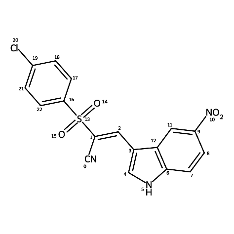 N#C/C(=C\c1c[nH]c2ccc([N+](=O)[O-])cc12)S(=O)(=O)c1ccc(Cl)cc1